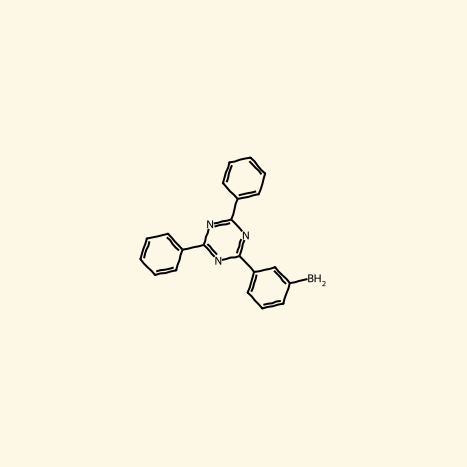 Bc1cccc(-c2nc(-c3ccccc3)nc(-c3ccccc3)n2)c1